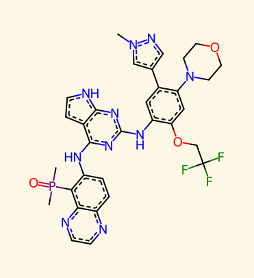 Cn1cc(-c2cc(Nc3nc(Nc4ccc5nccnc5c4P(C)(C)=O)c4cc[nH]c4n3)c(OCC(F)(F)F)cc2N2CCOCC2)cn1